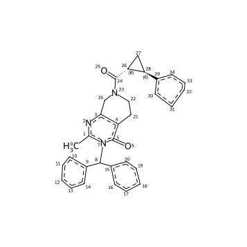 Cc1nc2c(c(=O)n1C(c1ccccc1)c1ccccc1)CCN(C(=O)[C@@H]1C[C@H]1c1ccccc1)C2